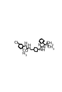 Cc1ccc(Cl)cc1NC(=O)NCC1CCC(Nc2nc(N(C)C)c3ccccc3n2)CC1